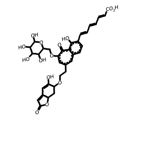 O=C(O)/C=C/C=C/C=C/c1ccc2cc(CCOC3CC4OC(=O)C=C4C=C3O)cc(OCC3OC(O)C(O)C(O)C3O)c(=O)c2c1O